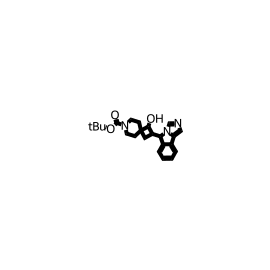 CC(C)(C)OC(=O)N1CCC2(CC1)CC(C1c3ccccc3-c3cncn31)C2O